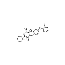 CC1(C(=O)N/C(=C/c2ccc(Oc3ccccc3I)cc2)C(=O)O)CCCCC1